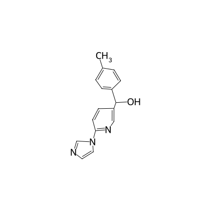 Cc1ccc(C(O)c2ccc(-n3ccnc3)nc2)cc1